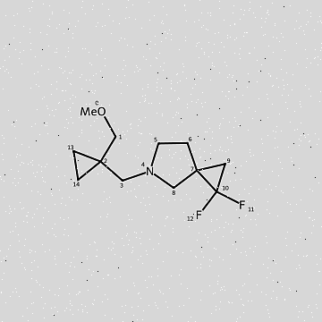 COCC1(CN2CCC3(C2)CC3(F)F)CC1